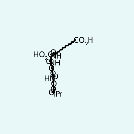 CC(C)C(=O)COCCOCCNC(=O)COCCOCCNC(=O)CC[C@H](NC(=O)CCCCCCCCCCCCCCC(=O)O)C(=O)O